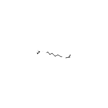 C(CCCOC[C@@H]1CO1)CCOCC1CO1